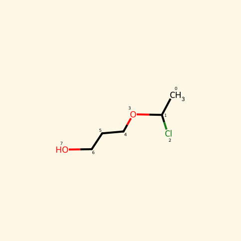 CC(Cl)OCCCO